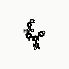 CC[C@@H]1CCN(C(=O)Nc2ccc(C)c(-c3cc(-c4cc(C)n(C)n4)nc(N4CCOCC4)c3)c2)C1